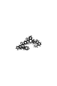 Cc1cccc(C#N)c1NC(=O)c1cc2c(s1)-c1ccccc1N(C(=O)c1ccc(NC(=O)c3cc4c(nc3N3CC5(CCOCC5)C3)CCC4)cc1F)CC2